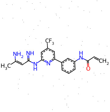 C=CC(=O)Nc1cccc(-c2cc(C(F)(F)F)cc(NC(=N)/C=C(/C)N)n2)c1